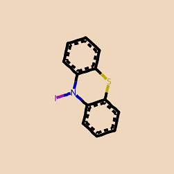 IN1c2ccccc2Sc2ccccc21